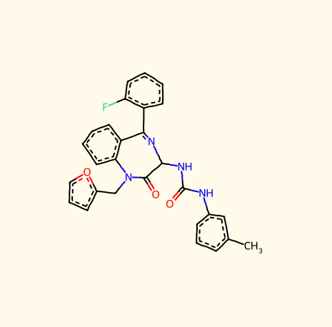 Cc1cccc(NC(=O)NC2N=C(c3ccccc3F)c3ccccc3N(Cc3ccco3)C2=O)c1